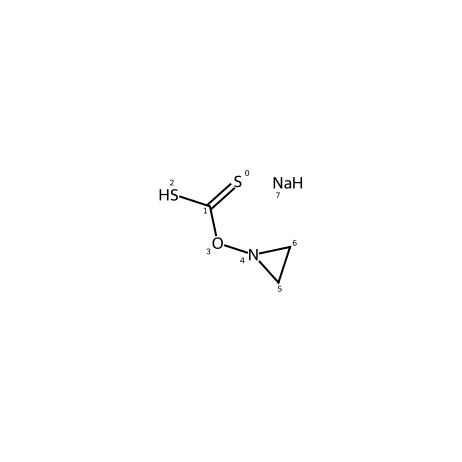 S=C(S)ON1CC1.[NaH]